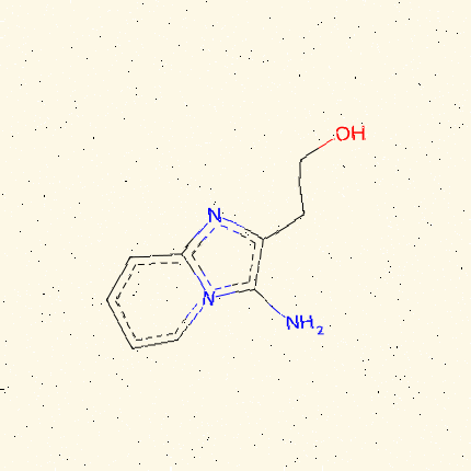 Nc1c(CCO)nc2ccccn12